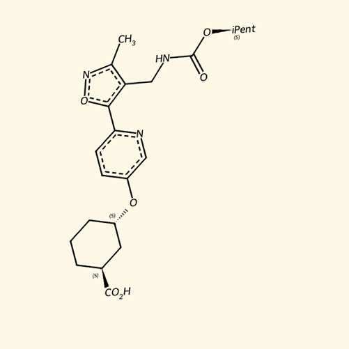 CCC[C@H](C)OC(=O)NCc1c(C)noc1-c1ccc(O[C@H]2CCC[C@H](C(=O)O)C2)cn1